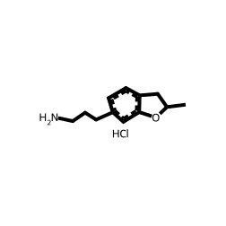 CC1Cc2ccc(CCCN)cc2O1.Cl